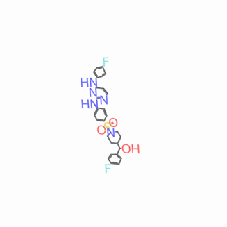 O=S(=O)(c1ccc(Nc2nccc(Nc3ccc(F)cc3)n2)cc1)N1CCC(C(O)c2ccc(F)cc2)CC1